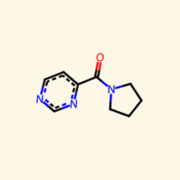 O=C(c1ccncn1)N1CCCC1